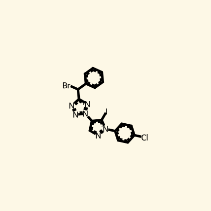 Clc1ccc(-n2ncc(-n3nnc(C(Br)c4ccccc4)n3)c2I)cc1